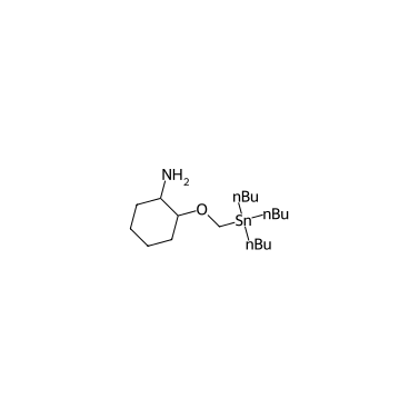 CCC[CH2][Sn]([CH2]CCC)([CH2]CCC)[CH2]OC1CCCCC1N